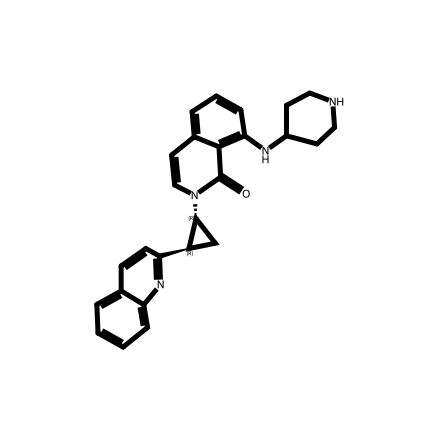 O=c1c2c(NC3CCNCC3)cccc2ccn1[C@@H]1C[C@H]1c1ccc2ccccc2n1